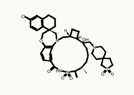 CC1[C@@H](C)CCC[C@@](O)(CN2CCC3(CC2)CCS(=O)(=O)C3)[C@@H]2CC[C@H]2CN2C[C@@]3(CCCc4cc(Cl)ccc43)COc3ccc(cc32)C(=O)NS1(=O)=O